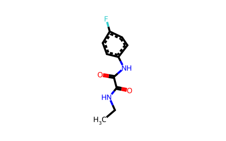 CCNC(=O)C(=O)Nc1ccc(F)cc1